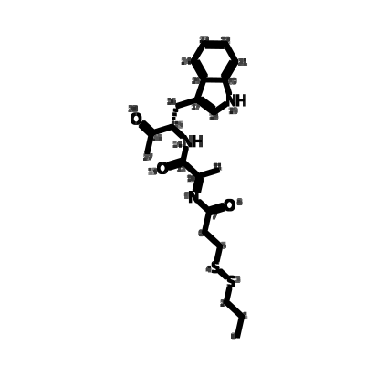 CCCSSCCC(=O)/N=C(\C)C(=O)N[C@@H](Cc1c[nH]c2ccccc12)C(C)=O